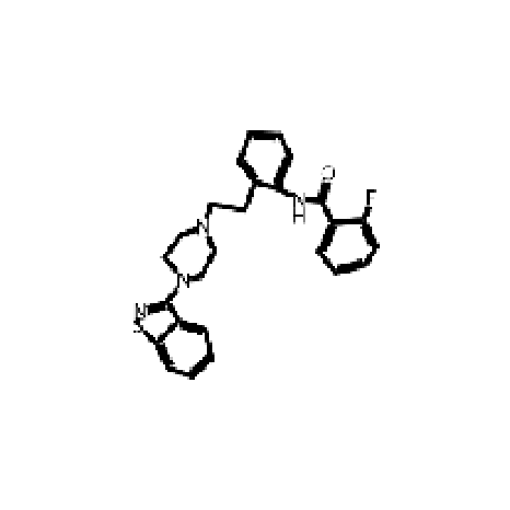 O=C(Nc1ccccc1CCN1CCN(c2nsc3ccccc23)CC1)c1ccccc1F